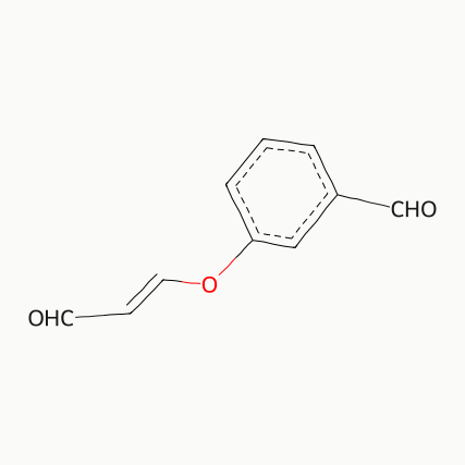 O=C/C=C/Oc1cccc(C=O)c1